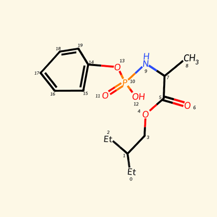 CCC(CC)COC(=O)C(C)NP(=O)(O)Oc1ccccc1